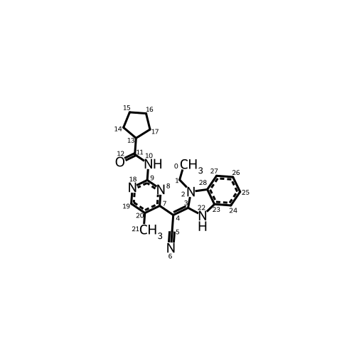 CCN1C(=C(C#N)c2nc(NC(=O)C3CCCC3)ncc2C)Nc2ccccc21